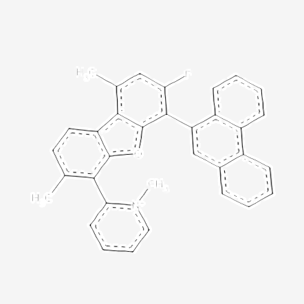 Cc1ccc2c(oc3c(-c4cc5ccccc5c5ccccc45)c(F)cc(C)c32)c1-c1cccc[n+]1C